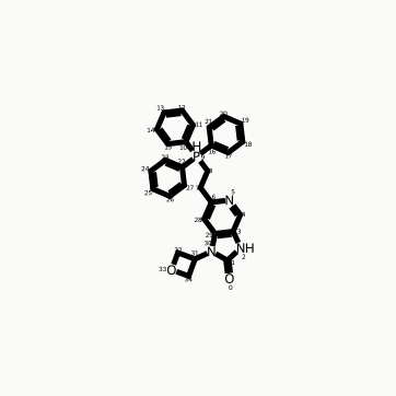 O=c1[nH]c2cnc(CC[PH](c3ccccc3)(c3ccccc3)c3ccccc3)cc2n1C1COC1